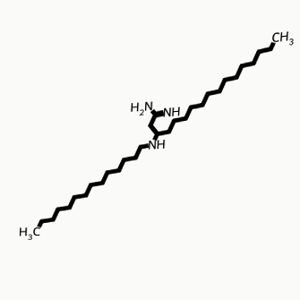 CCCCCCCCCCCCCCNC(CCCCCCCCCCCCCC)CC(=N)N